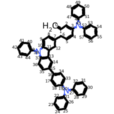 C=C/C=C(\C=C/CC1=CC=C2C(C1)c1cc(-c3ccc(N(c4ccccc4)c4ccccc4)cc3)ccc1N2c1ccccc1)N(c1ccccc1)c1ccccc1